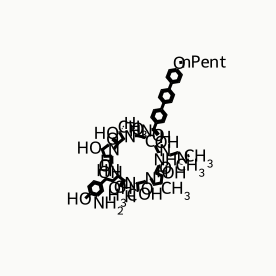 CCCCCOc1ccc(-c2ccc(-c3ccc(C(=O)N[C@H]4C[C@@H](O)[C@@H](NCCN(C)C)NC(=O)[C@@H]5[C@@H](O)[C@@H](C)CN5C(=O)[C@H]([C@@H](C)O)NC(=O)[C@H]([C@H](O)[C@@H](O)c5ccc(O)c(N)c5)NC(=O)[C@@H]5C[C@@H](O)CN5C(=O)[C@H]([C@@H](C)O)NC4=O)cc3)cc2)cc1